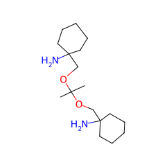 CC(C)(OCC1(N)CCCCC1)OCC1(N)CCCCC1